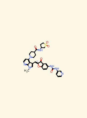 Cn1cc(/C=C2\Oc3ccc(NC(=O)Nc4cccnc4)cc3C2=O)c2c(N3CCC(C(=O)NC4CCS(=O)(=O)C4)CC3)ccnc21